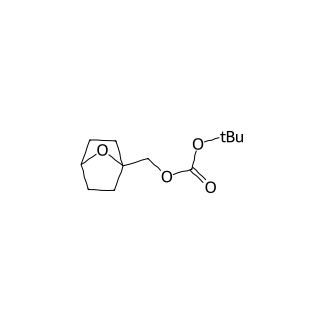 CC(C)(C)OC(=O)OCC12CCC(CC1)O2